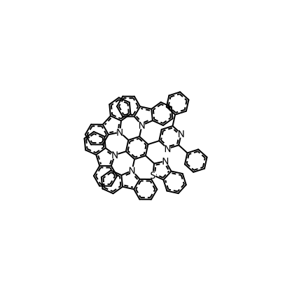 c1ccc(-c2cc(-c3c(-c4nc5ccccc5s4)c(-n4c5ccccc5c5ccccc54)c(-n4c5ccccc5c5ccccc54)c(-n4c5ccccc5c5ccccc54)c3-n3c4ccccc4c4ccccc43)nc(-c3ccccc3)n2)cc1